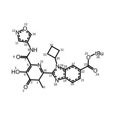 CC1C(=O)C(O)=C(C(=O)Nc2cnoc2)N=C1c1nc2ccc(C(=O)OC(C)(C)C)cc2n1C1CCC1